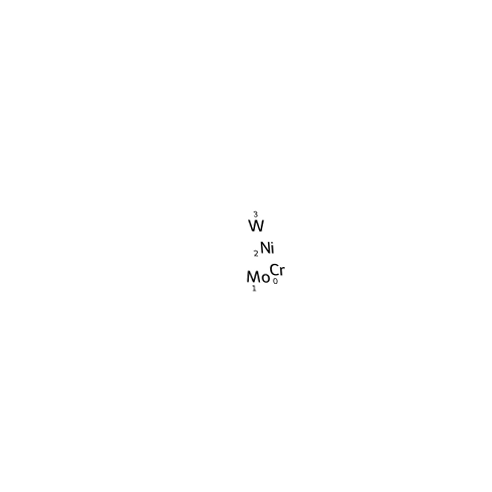 [Cr].[Mo].[Ni].[W]